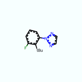 CC(C)(C)c1c(F)cccc1-n1nccn1